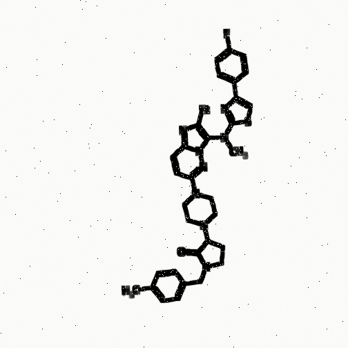 CCc1nc2ccc(N3CCN(C4CCN(Cc5ccc(C)cc5)C4=O)CC3)nn2c1N(C)c1nc(-c2ccc(F)cc2)cs1